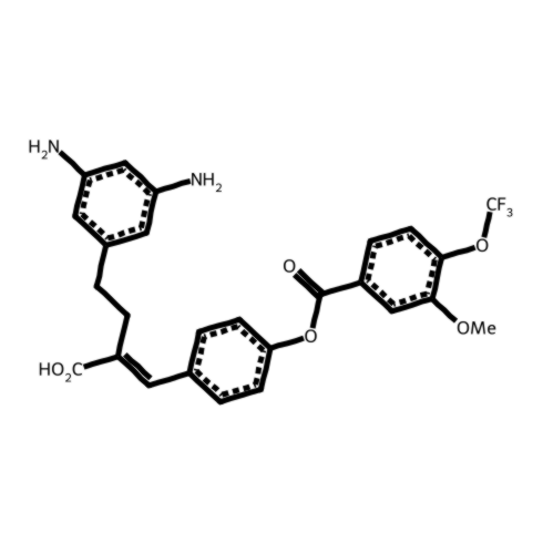 COc1cc(C(=O)Oc2ccc(C=C(CCc3cc(N)cc(N)c3)C(=O)O)cc2)ccc1OC(F)(F)F